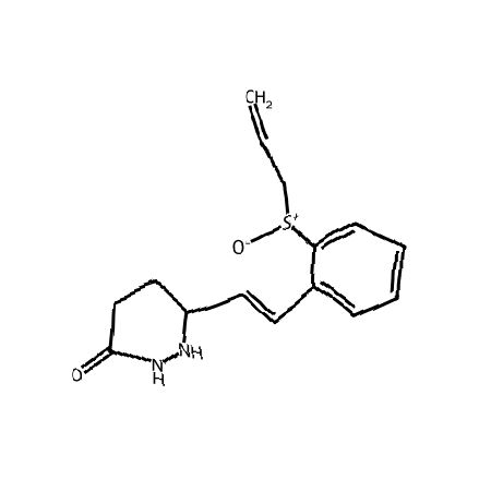 C=CC[S+]([O-])c1ccccc1/C=C/C1CCC(=O)NN1